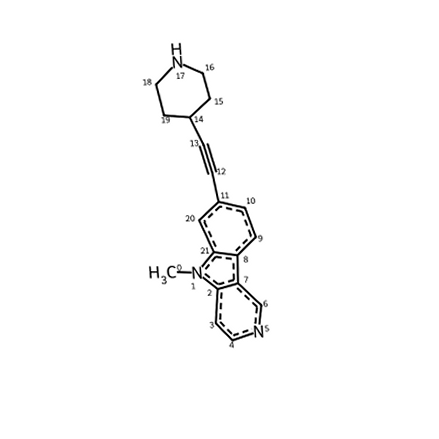 Cn1c2ccncc2c2ccc(C#CC3CCNCC3)cc21